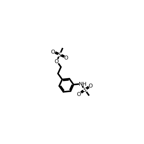 CS(=O)(=O)Nc1cccc(CCOS(C)(=O)=O)c1